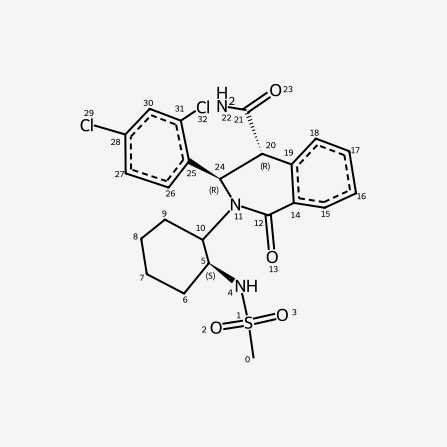 CS(=O)(=O)N[C@H]1CCCCC1N1C(=O)c2ccccc2[C@@H](C(N)=O)[C@@H]1c1ccc(Cl)cc1Cl